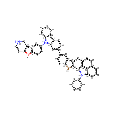 C1=Cc2oc3ccc(-n4c5ccccc5c5ccc(-c6ccc7sc8c(cc9ccc%10cccc%11c%10c9c8n%11-c8ccccc8)c7c6)cc54)cc3c2CN1